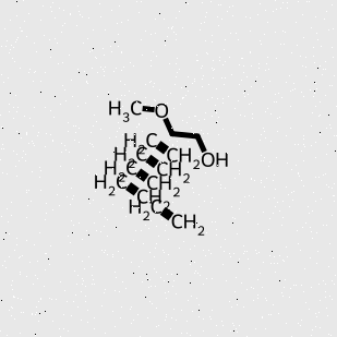 C=C.C=C.C=C.C=C.C=C.COCCO